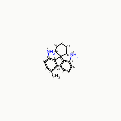 Cc1ccc(N)c(C2(c3ccccc3N)CCCCC2)c1